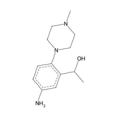 CC(O)c1cc(N)ccc1N1CCN(C)CC1